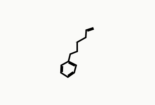 C=CC[CH]CCc1ccccc1